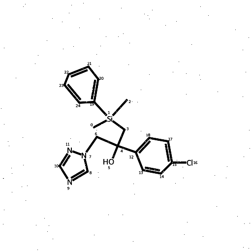 C[Si](C)(CC(O)(Cn1cncn1)c1ccc(Cl)cc1)c1ccccc1